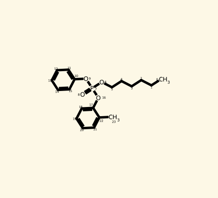 CCCCCCOP(=O)(Oc1ccccc1)Oc1ccccc1C